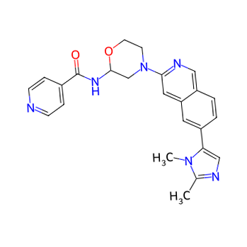 Cc1ncc(-c2ccc3cnc(N4CCOC(NC(=O)c5ccncc5)C4)cc3c2)n1C